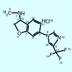 CN[C@@H]1COc2cc(-n3cnc(C(F)(F)F)c3)ccc21.Cl